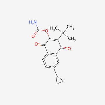 CC(C)(C)C1=C(OC(N)=O)C(=O)c2ccc(C3CC3)cc2C1=O